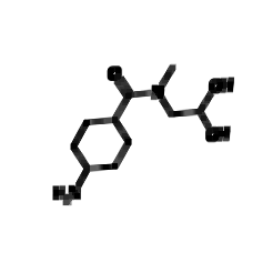 CN(CC(O)O)C(=O)C1CCC(N)CC1